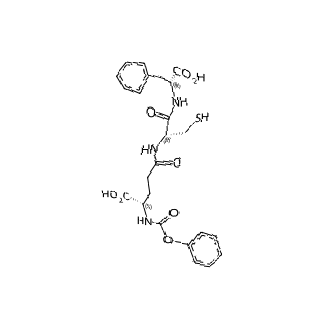 O=C(CC[C@H](NC(=O)Oc1ccccc1)C(=O)O)N[C@@H](CS)C(=O)N[C@@H](C(=O)O)c1ccccc1